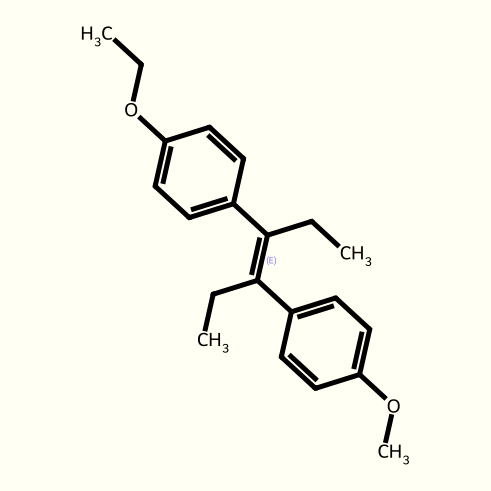 CCOc1ccc(/C(CC)=C(\CC)c2ccc(OC)cc2)cc1